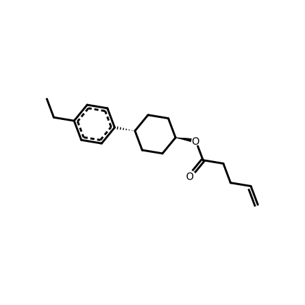 C=CCCC(=O)O[C@H]1CC[C@H](c2ccc(CC)cc2)CC1